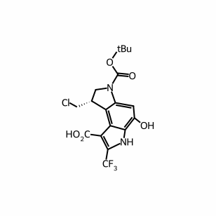 CC(C)(C)OC(=O)N1C[C@@H](CCl)c2c1cc(O)c1[nH]c(C(F)(F)F)c(C(=O)O)c21